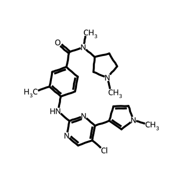 Cc1cc(C(=O)N(C)C2CCN(C)C2)ccc1Nc1ncc(Cl)c(-c2ccn(C)c2)n1